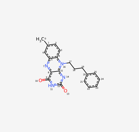 Cc1ccc2c(c1)nc1c(=O)[nH]c(=O)nc-1n2CCCc1ccccc1